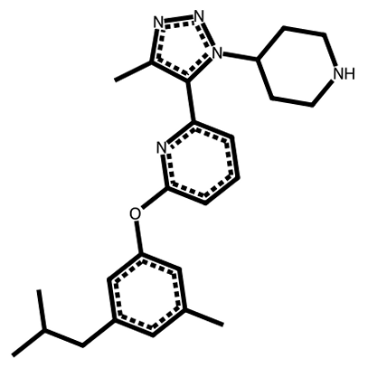 Cc1cc(CC(C)C)cc(Oc2cccc(-c3c(C)nnn3C3CCNCC3)n2)c1